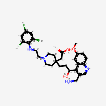 COc1ccc2ncc(CN)c(C(O)CCC3(CC(=O)O)CCN(CCNc4c(F)cc(F)cc4F)CC3)c2c1